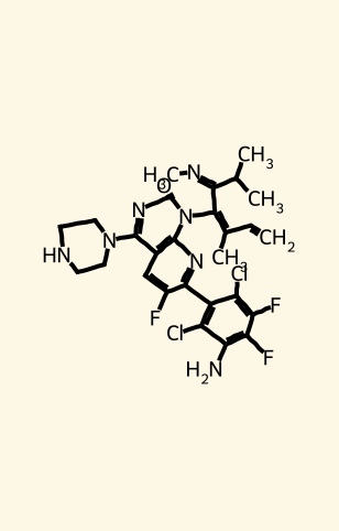 C=C/C(C)=C(\C(=N/C)C(C)C)n1c(=O)nc(N2CCNCC2)c2cc(F)c(-c3c(Cl)c(N)c(F)c(F)c3Cl)nc21